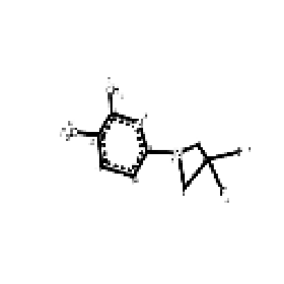 Cc1nc(N2CC(F)(F)C2)ccc1C(F)(F)F